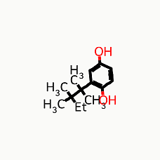 CCC(C)(C)C(C)(C)c1cc(O)ccc1O